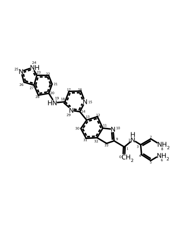 C=C(NC(/C=C\N)=C/N)C1=Nc2cc(-c3nccc(Nc4ccc5[nH]ncc5c4)n3)ccc2C1